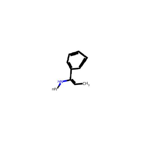 C/C=C(/NCCC)c1ccccc1